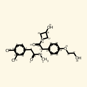 CN(C(=O)Cc1ccc(Cl)c(Cl)c1)[C@H](C(=O)N1CC(O)C1)c1ccc(OCCO)cc1